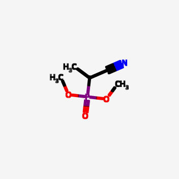 COP(=O)(OC)[C](C)C#N